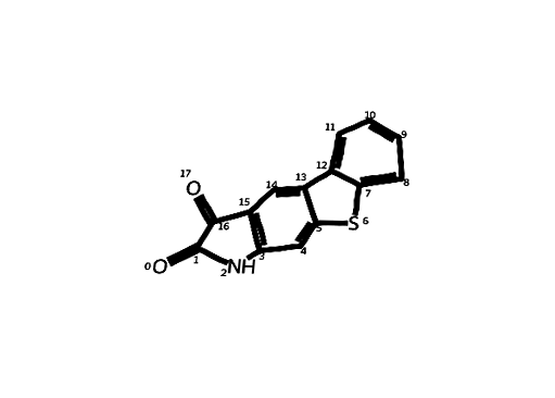 O=C1Nc2cc3sc4ccccc4c3cc2C1=O